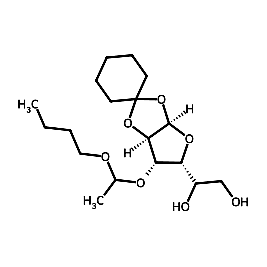 CCCCOC(C)O[C@@H]1[C@H]2OC3(CCCCC3)O[C@H]2O[C@@H]1C(O)CO